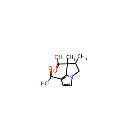 CC1Cn2ccc(C(=O)O)c2C1(C)C(=O)O